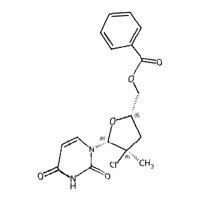 C[C@@]1(Cl)C[C@@H](COC(=O)c2ccccc2)O[C@H]1n1ccc(=O)[nH]c1=O